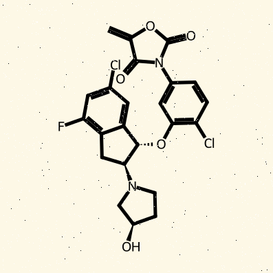 C=C1OC(=O)N(c2ccc(Cl)c(O[C@H]3c4cc(Cl)cc(F)c4C[C@@H]3N3CC[C@@H](O)C3)c2)C1=O